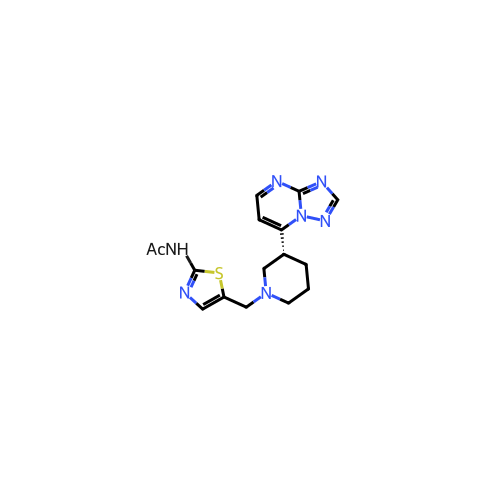 CC(=O)Nc1ncc(CN2CCC[C@@H](c3ccnc4ncnn34)C2)s1